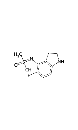 CS(C)(=O)=Nc1c(F)ccc2c1CCN2